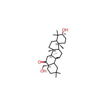 CC1(C)CC[C@]2(CO)C(=O)C[C@]3(C)C(=CCC4[C@@]5(C)CC[C@H](O)C(C)(C)C5CC[C@]43C)C2C1